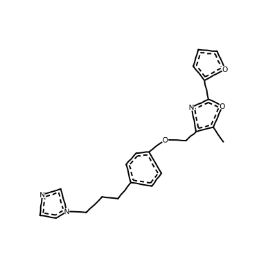 Cc1oc(-c2ccco2)nc1COc1ccc(CCCn2ccnc2)cc1